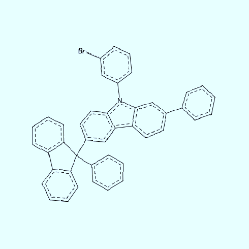 Brc1cccc(-n2c3ccc(C4(c5ccccc5)c5ccccc5-c5ccccc54)cc3c3ccc(-c4ccccc4)cc32)c1